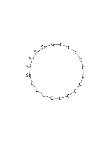 C1CCCCCCC[Se][Se][Se][Se][Se][Se]CCCCCC1